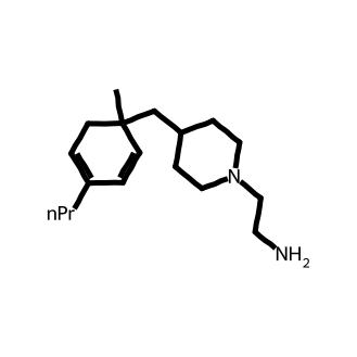 CCCC1=CCC(C)(CC2CCN(CCN)CC2)C=C1